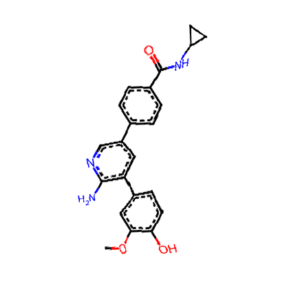 COc1cc(-c2cc(-c3ccc(C(=O)NC4CC4)cc3)cnc2N)ccc1O